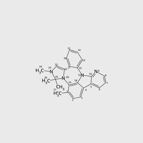 Cc1ccc2c3cccnc3n(-c3ccccc3)c2c1N1C=CN(C)C1(C)C